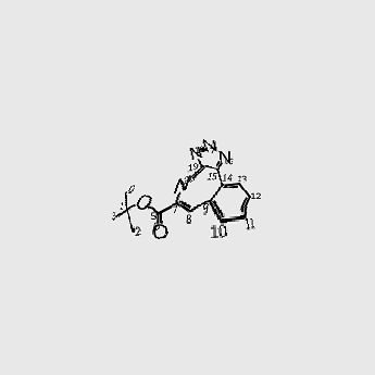 CC(C)(C)OC(=O)c1cc2ccccc2c2nnnc-2n1